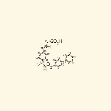 CC(NOCc1ccc(-c2ccccc2)cc1)c1ccc(CNCC(=O)O)cc1